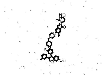 Cc1cccc(C2COc3cc(O)ccc3C2c2ccc(N3CCC(CN4CCN(c5cc6c(cc5F)C(=O)N(C5CCC(=O)NC5=O)C6)CC4)CC3)c(F)c2)c1